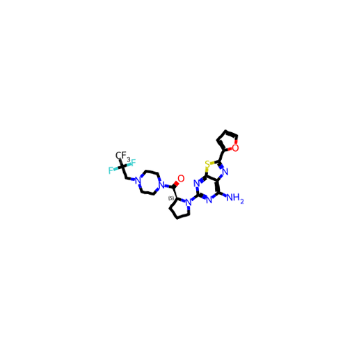 Nc1nc(N2CCC[C@H]2C(=O)N2CCN(CC(F)(F)C(F)(F)F)CC2)nc2sc(-c3ccco3)nc12